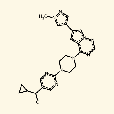 Cn1cc(-c2cc3c(N4CCN(c5ncc(C(O)C6CC6)cn5)CC4)ncnn3c2)cn1